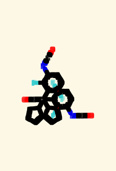 O=C=Nc1ccc(F)[c]([Ti](=[C]=O)([c]2c(F)ccc(N=C=O)c2F)([CH]2C=CC=C2)[CH]2C=CC=C2)c1F